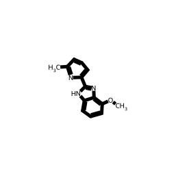 COc1cccc2[nH]c(-c3cccc(C)n3)nc12